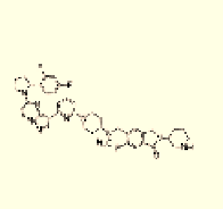 CN(Cc1cc2c(cc1F)C(=O)N(C1CCCNC1)C2)C1CCN(c2cccc(-c3cnn4ccc(N5CCC[C@@H]5c5ccc(F)cc5F)nc34)n2)CC1